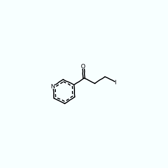 O=C(CCI)c1cccnc1